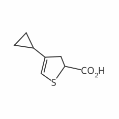 O=C(O)C1CC(C2CC2)=CS1